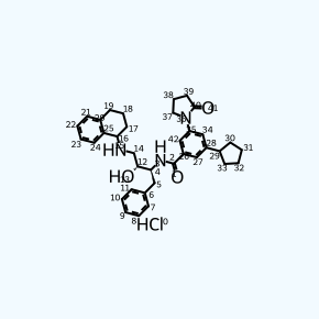 Cl.O=C(N[C@@H](Cc1ccccc1)[C@H](O)CNC1CCCc2ccccc21)c1cc(C2CCCC2)cc(N2CCCC2=O)c1